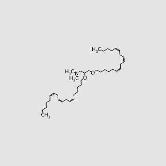 CCCC/C=C\C/C=C\C/C=C\CCCCCOCC(CN(C)C)OCCCCC/C=C\C/C=C\C/C=C\CCCCC